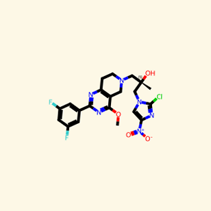 COc1nc(-c2cc(F)cc(F)c2)nc2c1CN(C[C@](C)(O)Cn1cc([N+](=O)[O-])nc1Cl)CC2